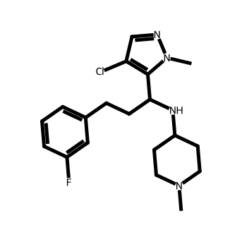 CN1CCC(NC(CCc2cccc(F)c2)c2c(Cl)cnn2C)CC1